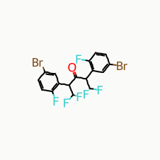 O=C(C(c1cc(Br)ccc1F)C(F)F)C(c1cc(Br)ccc1F)C(F)F